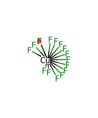 [F][Cu]([F])([F])([F])([F])([F])([F])([F])([F])([F])([F])([F])([F])([F])([F])[F]